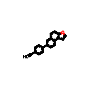 C#Cc1ccc(-c2ccc3c(ccc4occc43)c2)cc1